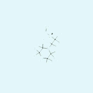 O=S(=O)(OF)C(F)(F)C(F)(F)N1C(F)(F)C(F)(F)OC(F)(F)C1(F)F